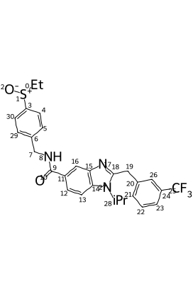 CC[S+]([O-])c1ccc(CNC(=O)c2ccc3c(c2)nc(Cc2cccc(C(F)(F)F)c2)n3C(C)C)cc1